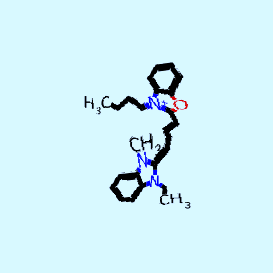 CCCC[n+]1c(C=CC=C2N(C)c3ccccc3N2CC)oc2ccccc21